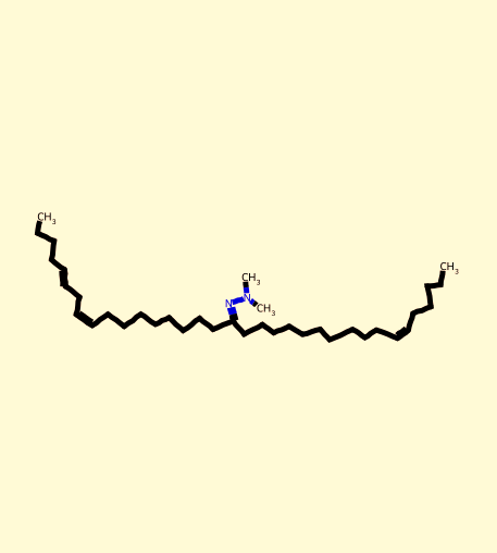 CCCC/C=C/C/C=C\CCCCCCCCC(CCCCCCCCCC/C=C\CCCCC)=NN(C)C